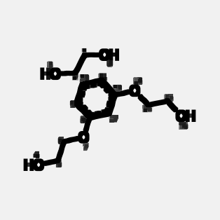 OCCO.OCCOc1cccc(OCCO)c1